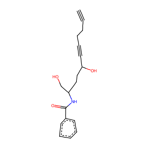 C#CCCC#CC(O)CCC(CO)NC(=O)c1ccccc1